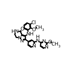 COc1nccc(Nc2cc(-c3nn4c(c3Nc3cccc(Cl)c3OC)C(=O)NCC4)ccn2)n1